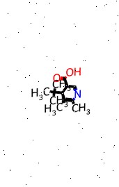 CC1=C(C)C(C(C)(C)C)C(C(=O)O)C=N1